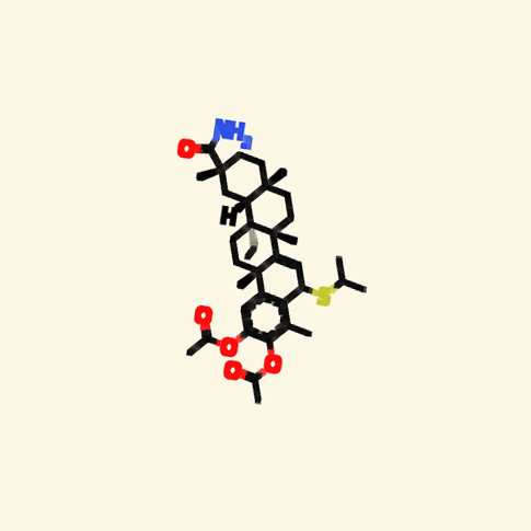 CC[C@@]12CC[C@]3(C)C(=CC(SC(C)C)c4c3cc(OC(C)=O)c(OC(C)=O)c4C)[C@@]1(C)CC[C@@]1(C)CC[C@@](C)(C(N)=O)C[C@H]12